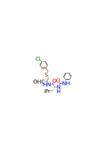 CC(C)C[C@@H](NC(=O)Nc1ccccc1)C(=O)NC(C=O)CSCc1ccc(Cl)cc1